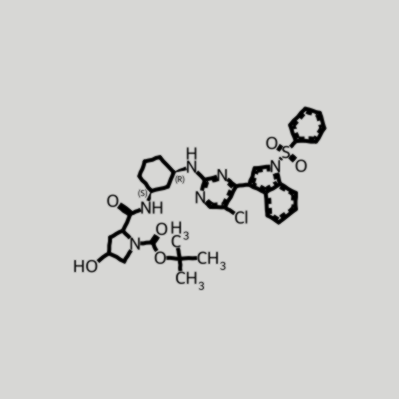 CC(C)(C)OC(=O)N1CC(O)CC1C(=O)N[C@H]1CCC[C@@H](Nc2ncc(Cl)c(-c3cn(S(=O)(=O)c4ccccc4)c4ccccc34)n2)C1